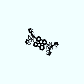 c1csc(-c2nc(-c3ccc4c(c3)C3(c5ccccc5-c5ccccc53)c3cc(-c5nc(-c6cccs6)nc(-c6cccs6)n5)ccc3-4)nc(-c3cccs3)n2)c1